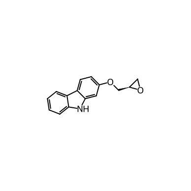 c1ccc2c(c1)[nH]c1cc(OC[C@H]3CO3)ccc12